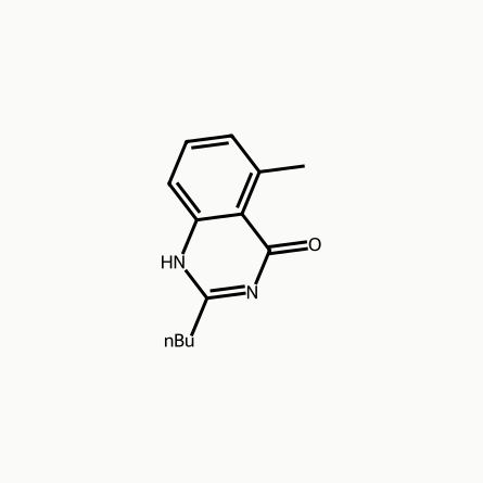 CCCCc1nc(=O)c2c(C)cccc2[nH]1